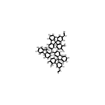 C=Cc1ccc(C2(c3ccc(C)c(F)c3)c3ccccc3-c3ccc(N(c4ccc5c(c4)C(c4ccc(C=C)cc4)(c4ccc(C)c(F)c4)c4ccccc4-5)c4cccc5c4C(C)(C)c4ccccc4-5)cc32)cc1